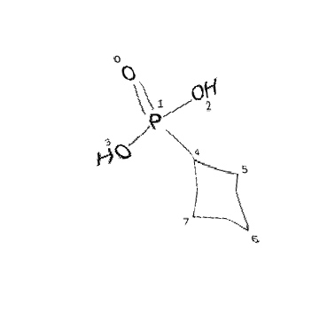 O=P(O)(O)C1CCC1